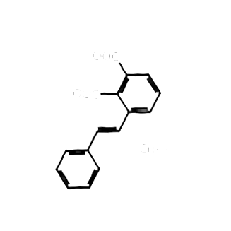 O=C([O-])c1cccc(C=Cc2ccccc2)c1C(=O)[O-].[Cu+2]